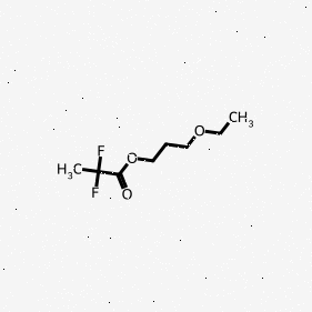 CCOCCCOC(=O)C(C)(F)F